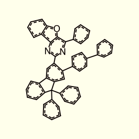 c1ccc(-c2ccc(-c3cc4c(cc3-c3nc(-c5ccccc5)c5oc6ccccc6c5n3)-c3ccccc3C4(c3ccccc3)c3ccccc3)cc2)cc1